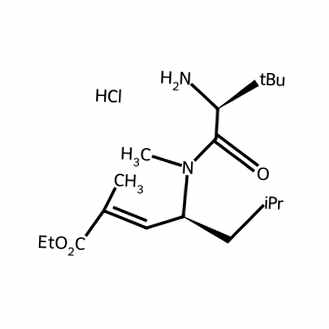 CCOC(=O)/C(C)=C/[C@H](CC(C)C)N(C)C(=O)[C@@H](N)C(C)(C)C.Cl